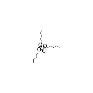 CCCCC[O][Zr]([Cl])([O]CCCCC)[O]CCCCC